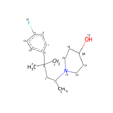 CC(CC(C)(C)c1ccc(F)cc1)N1CCC(O)CC1